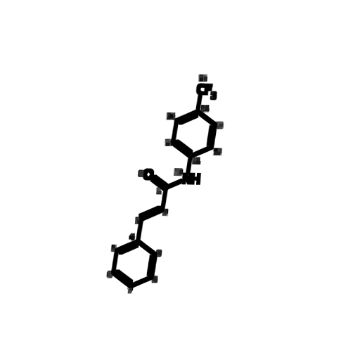 O=C(C=Cc1ccccc1)Nc1ccc(C(F)(F)F)cc1